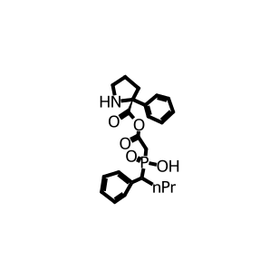 CCCC(c1ccccc1)P(=O)(O)CC(=O)OC(=O)[C@]1(c2ccccc2)CCCN1